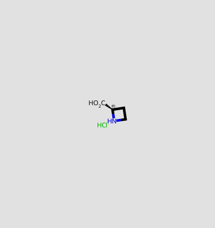 Cl.O=C(O)[C@H]1CCN1